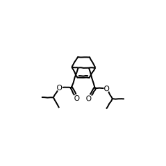 CC(C)OC(=O)C1C2C=CC(CC2)C1C(=O)OC(C)C